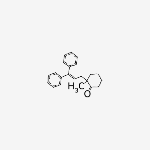 CC1(CC=C(c2ccccc2)c2ccccc2)CCCCC1=O